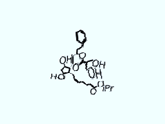 CC(C)OC(=O)CCC/C=C\C[C@@H]1[C@@H](CC[C@H](CCc2ccccc2)OC(=O)C(CO)CO)[C@H](O)C[C@@H]1O